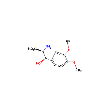 CCCCOc1ccc([C@@H](O)[C@H](N)C(=O)OCC)cc1OCCCC